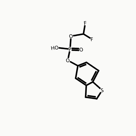 O=P(O)(Oc1ccc2sccc2c1)OC(F)F